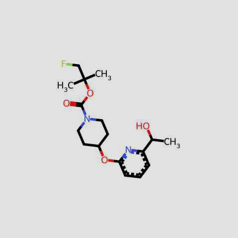 CC(O)c1cccc(OC2CCN(C(=O)OC(C)(C)CF)CC2)n1